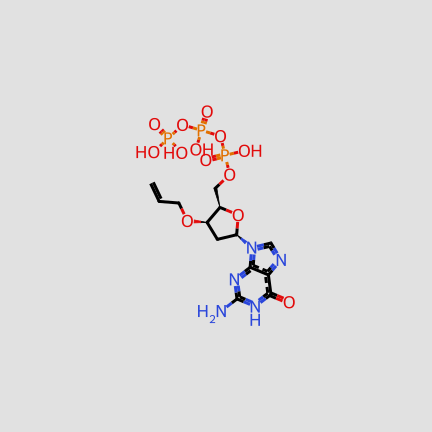 C=CCO[C@@H]1C[C@H](n2cnc3c(=O)[nH]c(N)nc32)O[C@@H]1COP(=O)(O)OP(=O)(O)OP(=O)(O)O